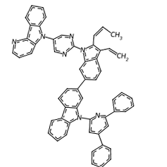 C=Cc1c(/C=C\C)n(-c2ncc(-n3c4ccccc4c4ncccc43)cn2)c2cc(-c3ccc4c5ccccc5n(-c5cc(-c6ccccc6)cc(-c6ccccc6)n5)c4c3)ccc12